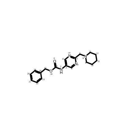 O=C(Nc1cnc(CN2CCCCC2)nc1)OCc1ccccc1